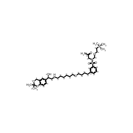 CC1(C)OCc2cc([C@@H](O)CNCCCCCCOCCCCc3cccc(S(=O)(=O)N(COCC[Si](C)(C)C)CC(N)=O)c3)ccc2O1